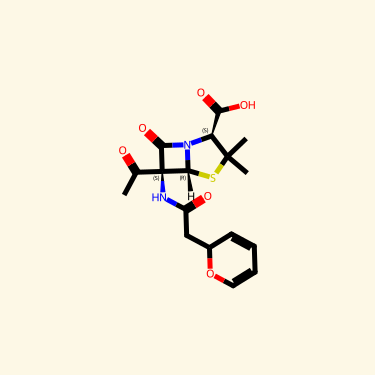 CC(=O)[C@]1(NC(=O)CC2C=CC=CO2)C(=O)N2[C@@H](C(=O)O)C(C)(C)S[C@@H]21